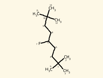 CC(C)(C)CCC(F)CCC(C)(C)C